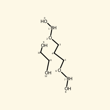 OBOCCCOBO.OCCO